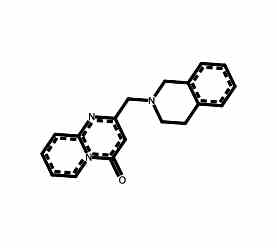 O=c1cc(CN2CCc3ccccc3C2)nc2ccccn12